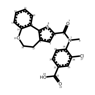 CN(C(=O)c1cc2c(s1)-c1ccccc1OCC2)c1ccc(C(=O)O)cc1Cl